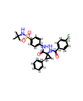 CC(C)(C)NS(=O)(=O)c1ccc(NC(=O)[C@]2(NC(=O)c3ccc(F)cc3)C[C@H]2c2ccccc2)cc1